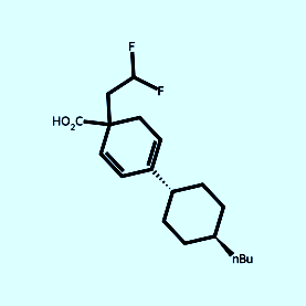 CCCC[C@H]1CC[C@H](C2=CCC(CC(F)F)(C(=O)O)C=C2)CC1